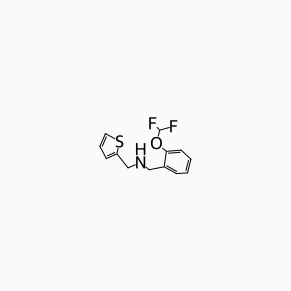 FC(F)Oc1ccccc1CNCc1cccs1